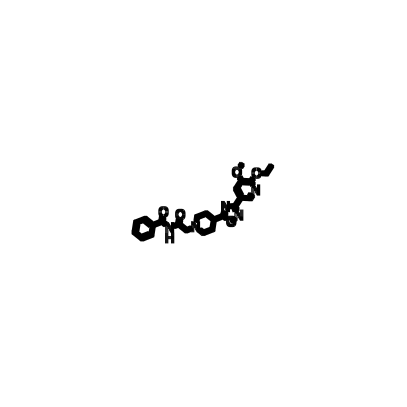 CCOc1ncc(-c2noc(C3CCN(CC(=O)NC(=O)c4ccccc4)CC3)n2)cc1OC